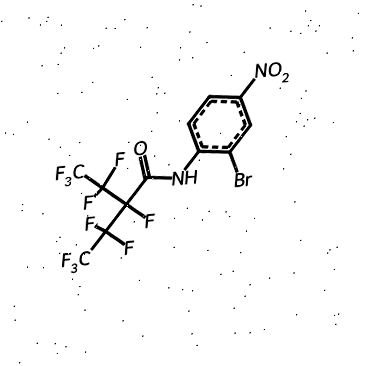 O=C(Nc1ccc([N+](=O)[O-])cc1Br)C(F)(C(F)(F)C(F)(F)F)C(F)(F)C(F)(F)F